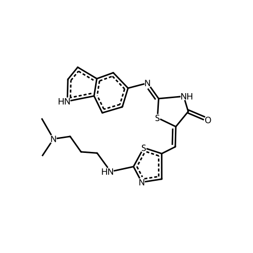 CN(C)CCCNc1ncc(C=C2SC(=Nc3ccc4[nH]ccc4c3)NC2=O)s1